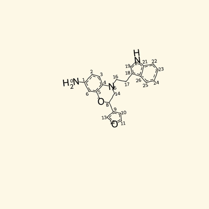 Nc1ccc2c(c1)OC(c1ccoc1)CN2CCc1c[nH]c2ccccc12